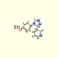 CCOc1ccc(-n2cnnc2-c2cccnc2)cc1